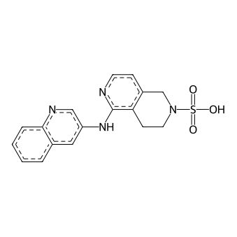 O=S(=O)(O)N1CCc2c(ccnc2Nc2cnc3ccccc3c2)C1